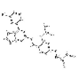 CCc1cccc(-c2cc(COc3ccc(CNC(=O)OC(C)(C)C)cc3CC(=O)OC)cc3ccoc23)c1